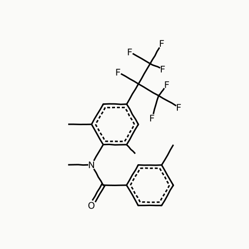 Cc1cccc(C(=O)N(C)c2c(C)cc(C(F)(C(F)(F)F)C(F)(F)F)cc2C)c1